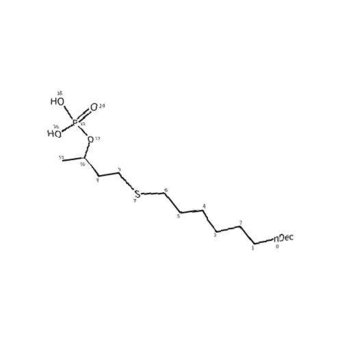 CCCCCCCCCCCCCCCCSCCC(C)OP(=O)(O)O